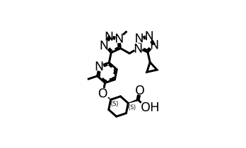 Cc1nc(-c2nnn(C)c2Cn2nnnc2C2CC2)ccc1O[C@H]1CCC[C@H](C(=O)O)C1